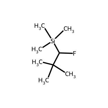 CC(C)(C)C(F)[Si](C)(C)C